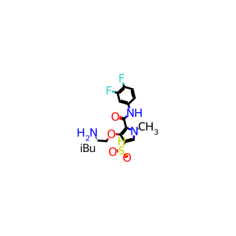 CC[C@H](C)[C@H](N)COc1c([SH](=O)=O)cn(C)c1C(=O)Nc1ccc(F)c(F)c1